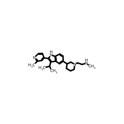 CNCCN1CCCC(c2ccc3[nH]c(-c4ccnc(C)c4)c(C(C)C)c3c2)C1